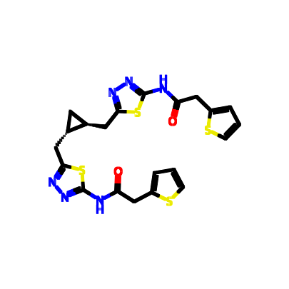 O=C(Cc1cccs1)Nc1nnc(C[C@@H]2C[C@H]2Cc2nnc(NC(=O)Cc3cccs3)s2)s1